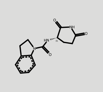 O=C1CC[C@H](NC(=O)N2CCc3ccccc32)C(=O)N1